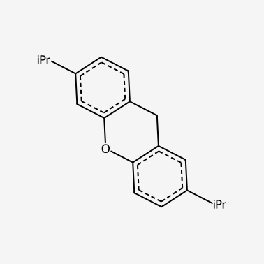 CC(C)c1ccc2c(c1)Cc1ccc(C(C)C)cc1O2